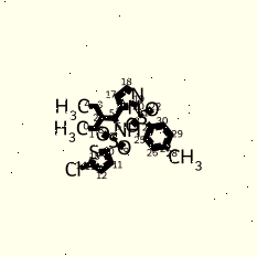 CCC(CC)C(NS(=O)(=O)c1ccc(Cl)s1)c1ccnn1S(=O)(=O)c1ccc(C)cc1